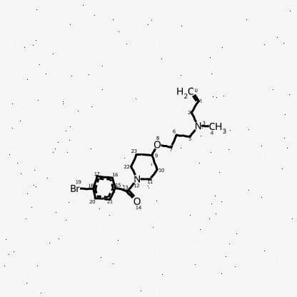 C=CCN(C)CCCOC1CCN(C(=O)c2ccc(Br)cc2)CC1